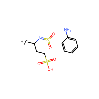 CC(CCS(=O)(=O)O)N=S(=O)=O.Nc1ccccc1